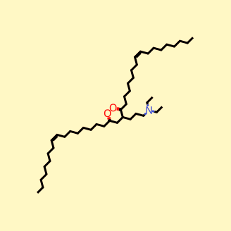 CCCCCCCC/C=C\CCCCCCCC(=O)CC(CCCN(CC)CC)C(=O)CCCCCCC/C=C\CCCCCCCC